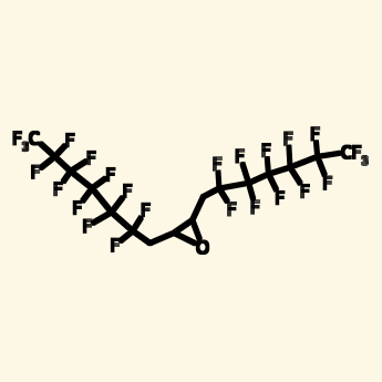 FC(F)(F)C(F)(F)C(F)(F)C(F)(F)C(F)(F)C(F)(F)CC1OC1CC(F)(F)C(F)(F)C(F)(F)C(F)(F)C(F)(F)C(F)(F)F